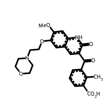 COc1cc2[nH]c(=O)c(C(=O)c3cccc(C(=O)O)c3C)cc2cc1OCCN1CCOCC1